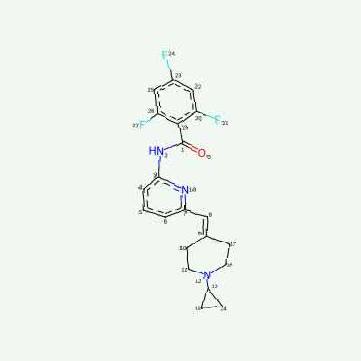 O=C(Nc1cccc(C=C2CCN(C3CC3)CC2)n1)c1c(F)cc(F)cc1F